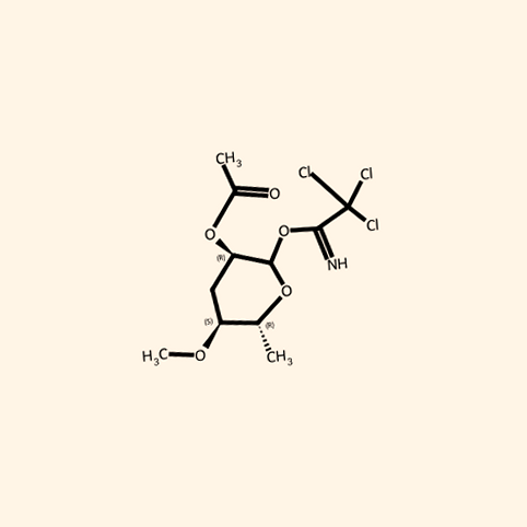 CO[C@H]1C[C@@H](OC(C)=O)C(OC(=N)C(Cl)(Cl)Cl)O[C@@H]1C